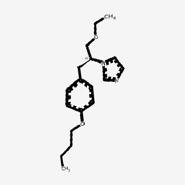 CCCCOc1ccc(C[C@@H](COCC)n2ccnc2)cc1